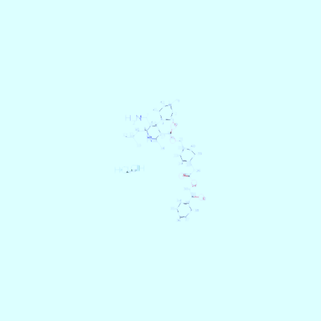 Cc1ccc(-c2c(CN)c(CC(C)C)nc(C)c2C(=O)OCc2ccc(CC(=O)OCC(=O)c3ccccc3)cc2)cc1.Cl.Cl